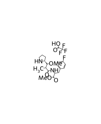 COC(=O)C(Cc1ccc(F)cc1)NC(=O)C(C)C(OC)[C@@H]1CCCN1.O=C(O)C(F)(F)F